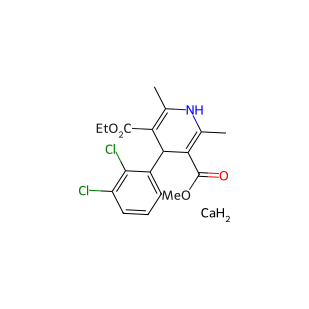 CCOC(=O)C1=C(C)NC(C)=C(C(=O)OC)C1c1cccc(Cl)c1Cl.[CaH2]